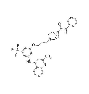 Cc1cc(Nc2cc(OCCCN3CC4CC3CN4C(=O)Nc3ccccc3)cc(C(F)(F)F)c2)c2ccccc2n1